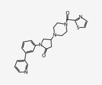 O=C(c1nccs1)N1CCN(C2CC(=O)N(c3cccc(-c4cccnc4)c3)C2)CC1